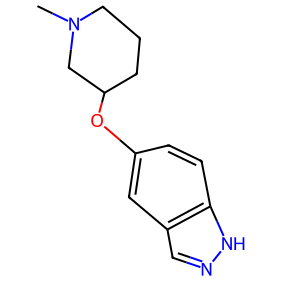 CN1CCCC(Oc2ccc3[nH]ncc3c2)C1